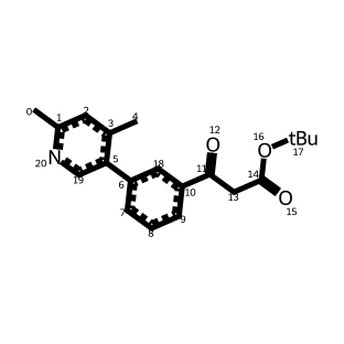 Cc1cc(C)c(-c2cccc(C(=O)CC(=O)OC(C)(C)C)c2)cn1